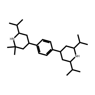 CC(C)C1CC(c2ccc(C3CC(C(C)C)NC(C)(C)C3)cc2)CC(C(C)C)N1